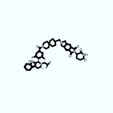 C[C@@H]1Cc2c([nH]c3ccccc23)[C@@H](c2c(F)cc(C(=O)N3CCC4(CCC(CN5Cc6cc7c(cc6C5)C(=O)N(C5CCC(=O)NC5=O)C7=O)CC4)CC3)cc2F)N1CC(F)F